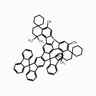 CC1(C)CCC2(CCCCC2)c2c(C#N)cc3c(c21)c1cc2c(c4c5c6c(c(C#N)cc5n3c14)C1(CCCCC1)CCC6(C)C)C1(c3ccccc3-c3ccccc31)c1cc3c(cc1-2)C1(c2ccccc2-c2ccccc21)c1ccccc1-3